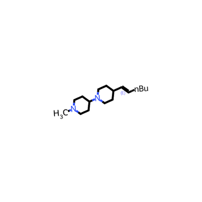 CCCC/C=C/C1CCN(C2CCN(C)CC2)CC1